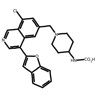 O=C(O)NC1CCN(Cc2cc(Cl)c3cncc(-c4cc5ccccc5o4)c3c2)CC1